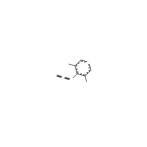 CCOC(=O)c1cncc(C)c1N=[N+]=[N-]